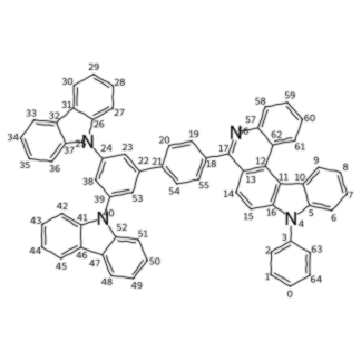 c1ccc(-n2c3ccccc3c3c4c(ccc32)c(-c2ccc(-c3cc(-n5c6ccccc6c6ccccc65)cc(-n5c6ccccc6c6ccccc65)c3)cc2)nc2ccccc24)cc1